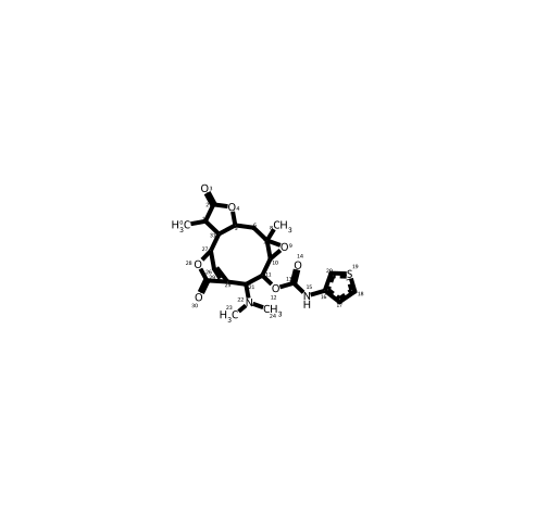 CC1C(=O)OC2CC3(C)OC3C(OC(=O)Nc3ccsc3)C(N(C)C)C3=CC(OC3=O)C21